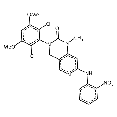 COc1cc(OC)c(Cl)c(N2Cc3cnc(Nc4ccccc4[N+](=O)[O-])cc3N(C)C2=O)c1Cl